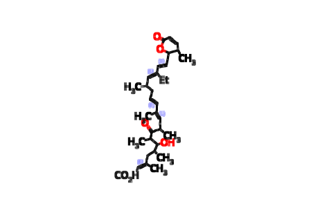 CCC(/C=C/C1OC(=O)C=CC1C)=C\C(C)C/C=C/C(C)=C/C(C)C(=O)C(C)C(O)C(C)C/C(C)=C/C(=O)O